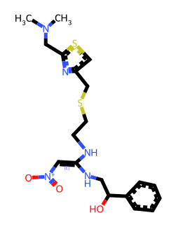 CN(C)Cc1nc(CSCCN/C(=C/[N+](=O)[O-])NCC(O)c2ccccc2)cs1